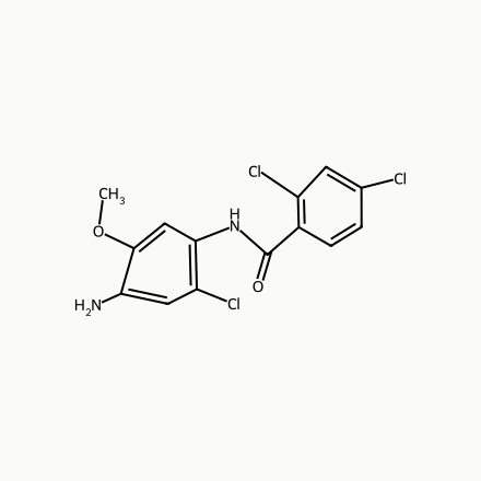 COc1cc(NC(=O)c2ccc(Cl)cc2Cl)c(Cl)cc1N